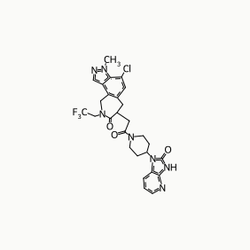 Cn1ncc2c3c(cc(Cl)c21)CC(CC(=O)N1CCC(n2c(=O)[nH]c4ncccc42)CC1)C(=O)N(CC(F)(F)F)C3